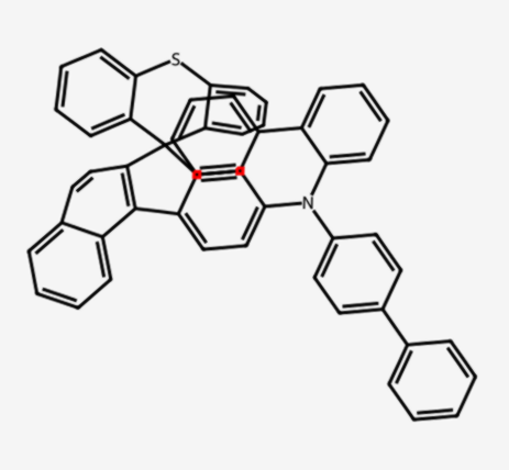 c1ccc(-c2ccc(N(c3ccc4c(c3)C3(c5ccccc5Sc5ccccc53)c3ccc5ccccc5c3-4)c3ccccc3-c3ccccc3)cc2)cc1